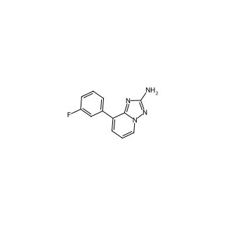 Nc1nc2c(-c3cccc(F)c3)cccn2n1